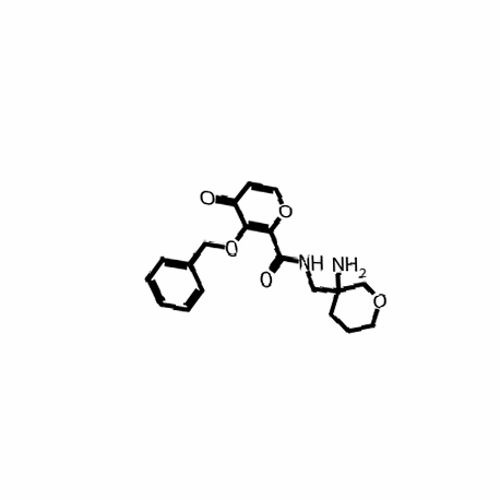 NC1(CNC(=O)c2occc(=O)c2OCc2ccccc2)CCCOC1